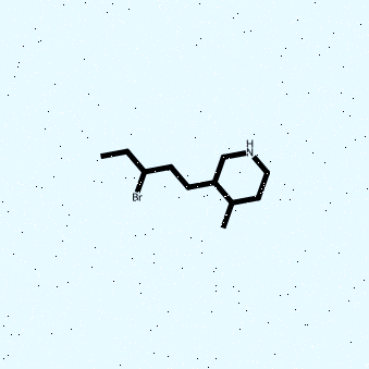 CCC(Br)CCC1CNCCC1C